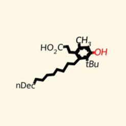 CCCCCCCCCCCCCCCCCCc1c(CCC(=O)O)c(C)cc(O)c1C(C)(C)C